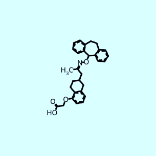 CC(CC1CCc2c(cccc2OCC(=O)O)C1)=NOC1c2ccccc2CCc2ccccc21